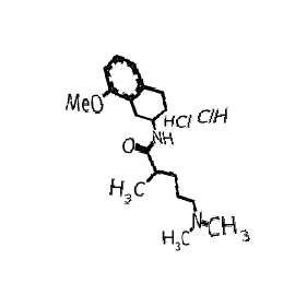 COc1cccc2c1CC(NC(=O)C(C)CCCN(C)C)CC2.Cl.Cl